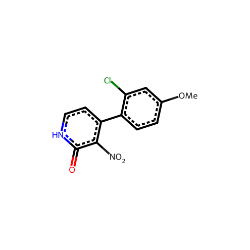 COc1ccc(-c2cc[nH]c(=O)c2[N+](=O)[O-])c(Cl)c1